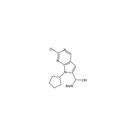 CNC(O)c1cc2cnc(Cl)nc2n1C1CCCC1